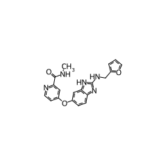 CNC(=O)c1cc(Oc2ccc3nc(NCc4ccco4)[nH]c3c2)ccn1